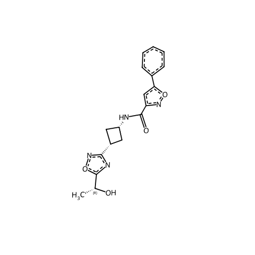 C[C@@H](O)c1nc([C@H]2C[C@@H](NC(=O)c3cc(-c4ccccc4)on3)C2)no1